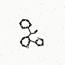 C=CC(c1ccccc1)c1cccnc1-c1cccs1